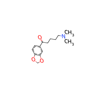 CN(C)CCCCC(=O)c1ccc2c(c1)OCO2